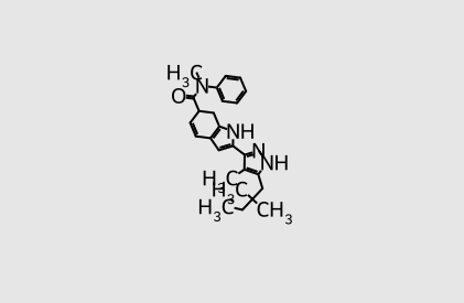 CCC(C)(C)Cc1[nH]nc(-c2cc3c([nH]2)CC(C(=O)N(C)c2ccccc2)C=C3)c1C